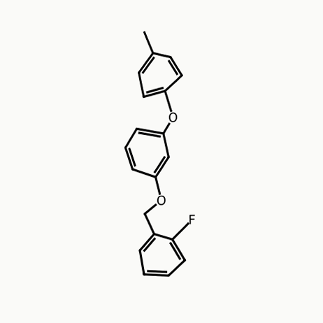 Cc1ccc(Oc2cccc(OCc3ccccc3F)c2)cc1